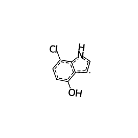 Oc1ccc(Cl)c2[nH]c[c]c12